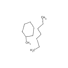 CC1CCCCC1.CCCCCCC